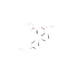 COC(=O)/C=C/c1c(C(=O)OC)cccc1-c1ccc(C(=O)O)cc1